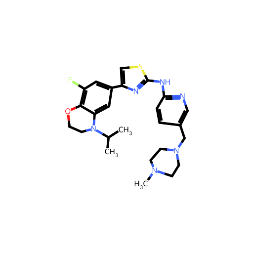 CC(C)N1CCOc2c(F)cc(-c3csc(Nc4ccc(CN5CCN(C)CC5)cn4)n3)cc21